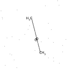 CCCCCCCCCCCCCCCCCCCCCCCCCCCOC(=O)CCCCCCCCCCCCCCCCC